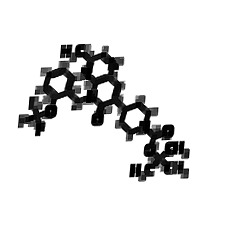 Cc1cnc2cc(C3CCN(C(=O)OC(C)(C)C)CC3)c(=O)n(Cc3ccccc3OC(F)(F)F)c2n1